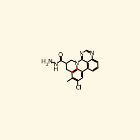 Cc1ccc(-c2cccc3ncnc(N4CCCC(C(=O)NN)C4)c23)cc1Cl